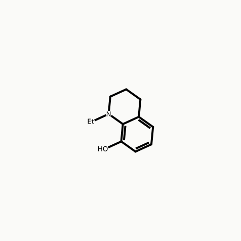 CCN1CCCc2cccc(O)c21